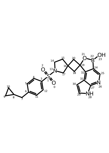 O=S(=O)(c1ccc(CC2CC2)cc1)N1CCC2(C1)CC1(C2)OB(O)c2cnc3[nH]ccc3c21